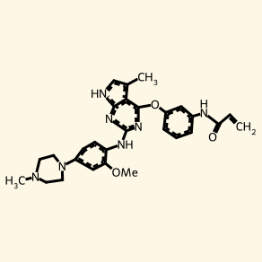 C=CC(=O)Nc1cccc(Oc2nc(Nc3ccc(N4CCN(C)CC4)cc3OC)nc3[nH]cc(C)c23)c1